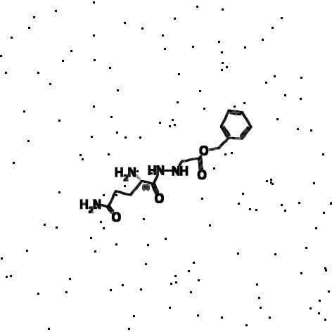 NC(=O)CC[C@H](N)C(=O)NNCC(=O)OCc1ccccc1